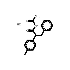 Cc1ccc(C(Cc2ccccc2)C(=O)NC(=N)N)cc1.Cl